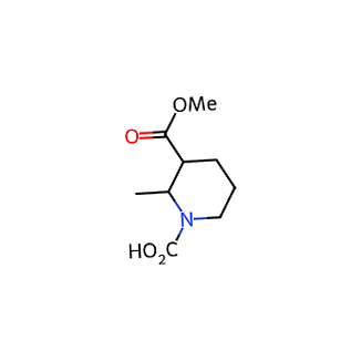 COC(=O)C1CCCN(C(=O)O)C1C